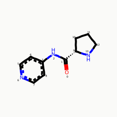 O=C(Nc1ccncc1)[C@@H]1CCCN1